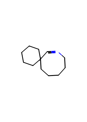 C1=N\CCCCCC/12CCCCC2